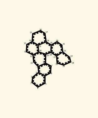 c1ccc2c(c1)ccc1c2cc2ccc3cccc4c5ccc6ccccc6c5c1c2c34